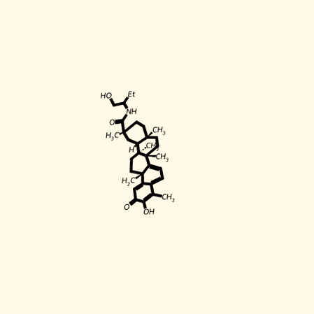 CCC(CO)NC(=O)[C@]1(C)CC[C@]2(C)CC[C@]3(C)C4=CC=C5C(=CC(=O)C(O)=C5C)[C@]4(C)CC[C@@]3(C)[C@@H]2C1